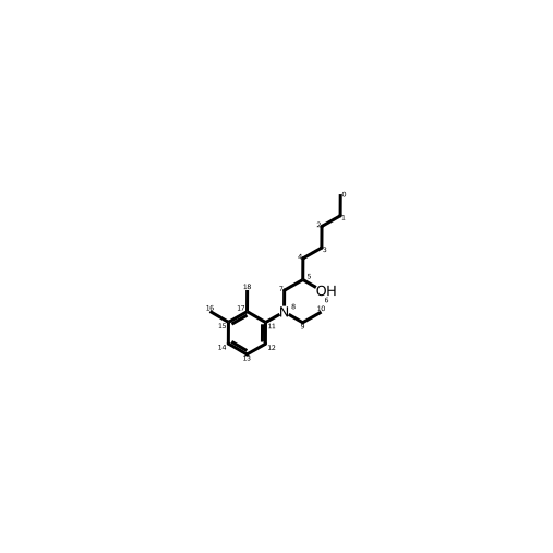 CCCCCC(O)CN(CC)c1cccc(C)c1C